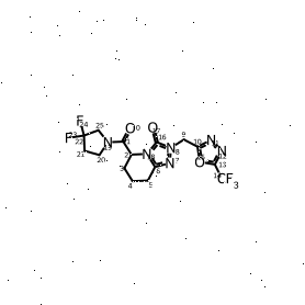 O=C(C1CCCc2nn(Cc3nnc(C(F)(F)F)o3)c(=O)n21)N1CCC(F)(F)C1